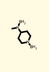 BN1CCC(N(B)C)CC1